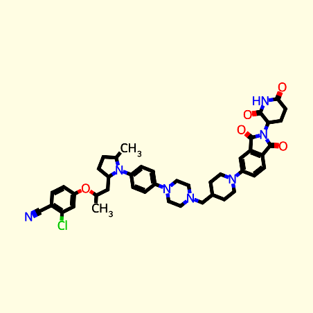 CC(CC1CCC(C)N1c1ccc(N2CCN(CC3CCN(c4ccc5c(c4)C(=O)N(C4CCC(=O)NC4=O)C5=O)CC3)CC2)cc1)Oc1ccc(C#N)c(Cl)c1